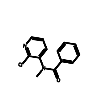 CN(C(=O)c1ccccc1)c1cccnc1Cl